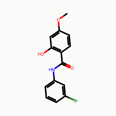 COc1ccc(C(=O)Nc2cccc(Br)c2)c(O)c1